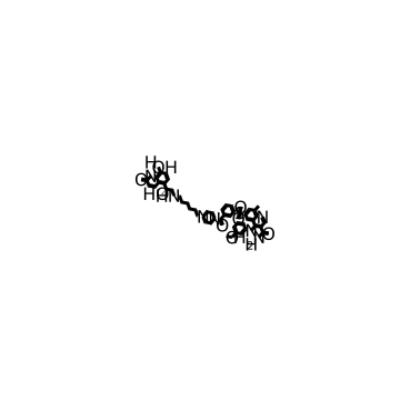 COc1cccc(Nc2c(C(N)=O)cnc3c(C)cc(S(=O)(=O)c4cccc(C(=O)N5CCN(CCCCCCNC[C@H](O)c6ccc(O)c7[nH]c(=O)ccc67)CC5)c4)cc23)c1